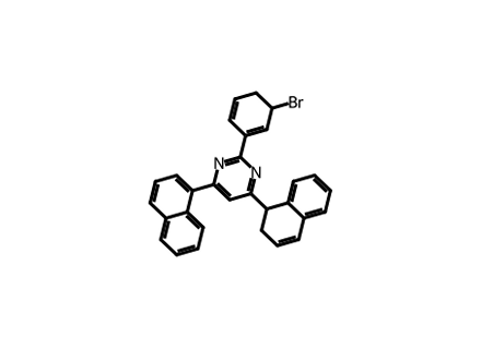 BrC1C=C(c2nc(-c3cccc4ccccc34)cc(C3CC=Cc4ccccc43)n2)C=CC1